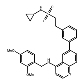 COc1ccc(CNc2ncnc3ccc(-c4cccc(CCS(=O)(=O)NC5CC5)c4)cc23)c(OC)c1